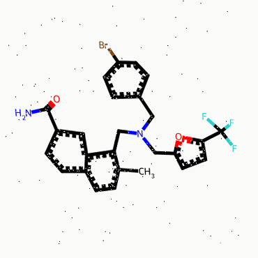 Cc1ccc2ccc(C(N)=O)cc2c1CN(Cc1ccc(Br)cc1)Cc1ccc(C(F)(F)F)o1